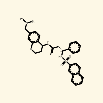 CCN(Cc1ccc2c(c1)OCCC2NC(=O)C[C@@H](NS(=O)(=O)c1ccc2ccccc2c1)c1ccccc1)C(C)C